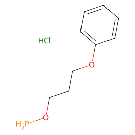 Cl.POCCCOc1ccccc1